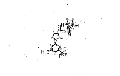 Cc1cc(N2CC[C@H](C(=O)N[C@@H]3C[C@@H]4CC[C@H]3N4C#N)C2)nc(C(F)(F)F)c1